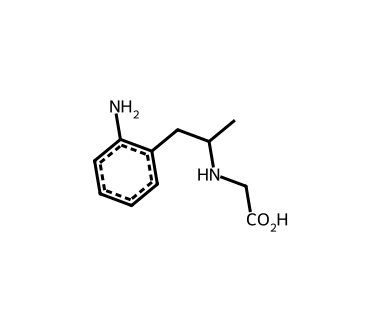 CC(Cc1ccccc1N)NCC(=O)O